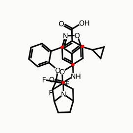 O=C(O)c1ccc(NC(=O)N2C3CCC2CC(OCc2c(-c4ccccc4OC(F)(F)F)noc2C2CC2)C3)cc1